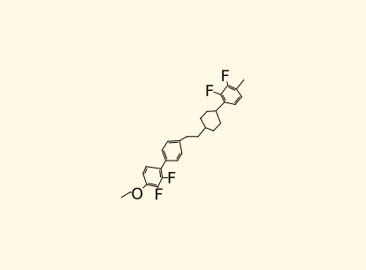 CCOc1ccc(-c2ccc(CCC3CCC(c4ccc(C)c(F)c4F)CC3)cc2)c(F)c1F